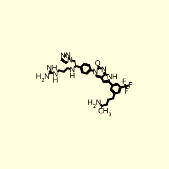 C[C@H](N)CCCc1cc(-c2cc3cn(-c4ccc([C@H](Cn5ccnn5)NCCCNC(=N)N)cc4)c(=O)nc3[nH]2)cc(C(F)(F)F)c1